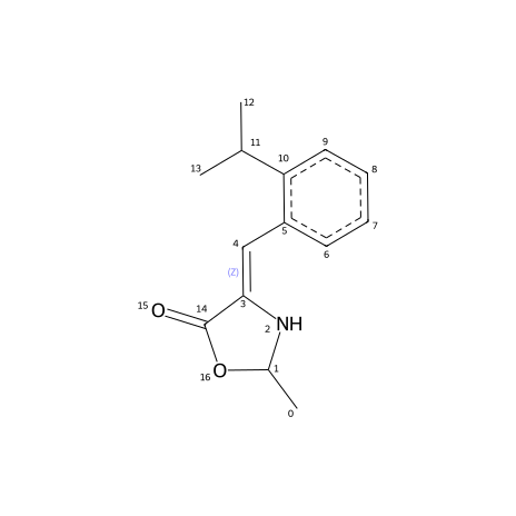 CC1N/C(=C\c2ccccc2C(C)C)C(=O)O1